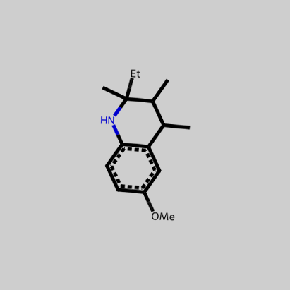 CCC1(C)Nc2ccc(OC)cc2C(C)C1C